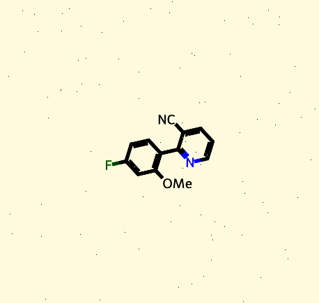 COc1cc(F)ccc1-c1ncccc1C#N